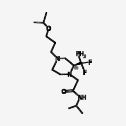 CC(C)NC(=O)CN1CCN(CCCOC(C)C)C[C@H]1C(F)(F)P